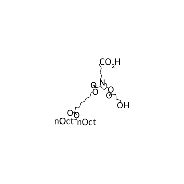 CCCCCCCCC(CCCCCCCC)OC(=O)CCCCCCCOC(=O)C1CC(OC(=O)CCCO)CN1CCCCCC(=O)O